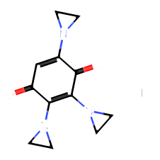 O=C1C=C(N2CC2)C(=O)C(N2CC2)=C1N1CC1.[F-].[H+]